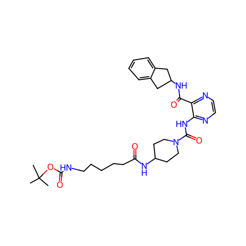 CC(C)(C)OC(=O)NCCCCCC(=O)NC1CCN(C(=O)Nc2nccnc2C(=O)NC2Cc3ccccc3C2)CC1